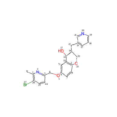 Cc1nc(COc2ccc3c(c2)C(O)C(Cc2cccnc2)CO3)ccc1Br